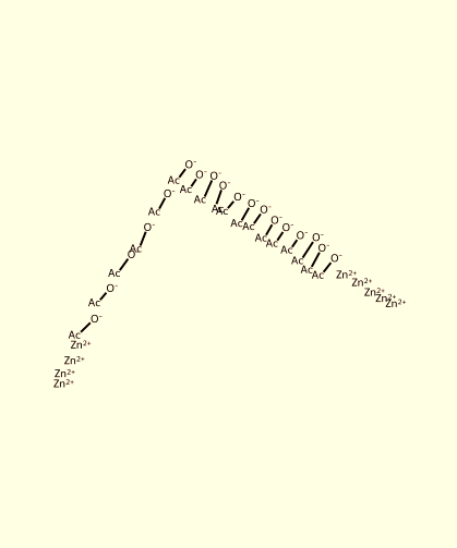 CC(=O)[O-].CC(=O)[O-].CC(=O)[O-].CC(=O)[O-].CC(=O)[O-].CC(=O)[O-].CC(=O)[O-].CC(=O)[O-].CC(=O)[O-].CC(=O)[O-].CC(=O)[O-].CC(=O)[O-].CC(=O)[O-].CC(=O)[O-].CC(=O)[O-].CC(=O)[O-].CC(=O)[O-].CC(=O)[O-].[Zn+2].[Zn+2].[Zn+2].[Zn+2].[Zn+2].[Zn+2].[Zn+2].[Zn+2].[Zn+2]